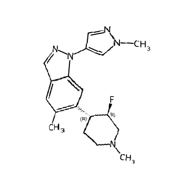 Cc1cc2cnn(-c3cnn(C)c3)c2cc1[C@H]1CCN(C)C[C@@H]1F